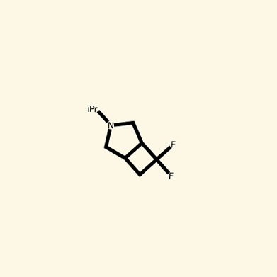 CC(C)N1CC2CC(F)(F)C2C1